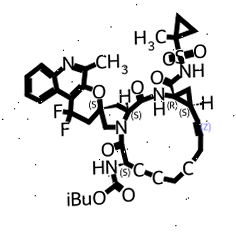 Cc1nc2ccccc2c2c1O[C@@]1(C[C@H]3C(=O)N[C@]4(C(=O)NS(=O)(=O)C5(C)CC5)C[C@H]4/C=C\CCCCC[C@H](NC(=O)OCC(C)C)C(=O)N3C1)CC2(F)F